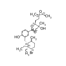 C=C1CC[C@H](Br)[C@@](C)(CC)[C@@H]1Cc1cc(C(=O)O[C@@H](CC[C@]2(C)O[C@H]2C)C(C)(C)O)ccc1O